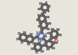 c1ccc(-c2ccc3cc(-c4nc(-c5ccc6ccccc6c5)nc(-c5c(-c6ccccc6)ccc6oc7ccccc7c56)n4)ccc3c2)cc1